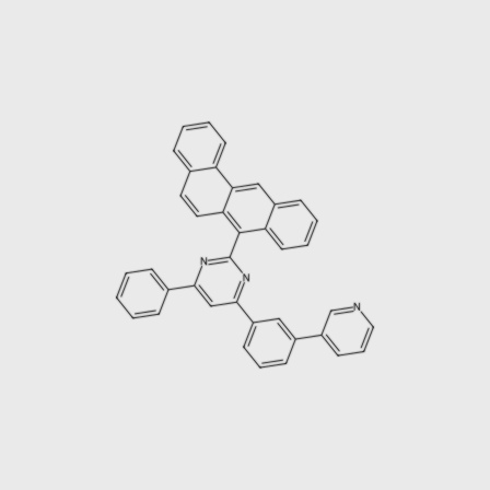 c1ccc(-c2cc(-c3cccc(-c4cccnc4)c3)nc(-c3c4ccccc4cc4c3ccc3ccccc34)n2)cc1